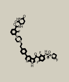 O=C1CC[C@H](NC(=O)c2cccc(N3CCN(CCc4ccc(-c5cnc6[nH]cc(C(=O)c7c(F)ccc(NS(=O)(=O)N8CC[C@@H](F)C8)c7F)c6c5)cc4)CC3)c2F)C(=O)N1